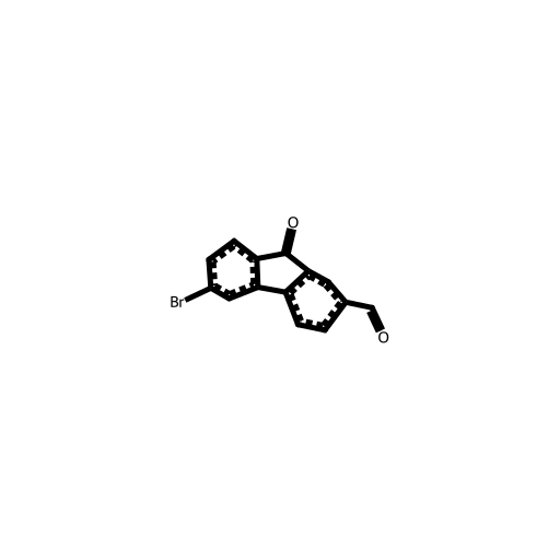 O=Cc1ccc2c(c1)C(=O)c1ccc(Br)cc1-2